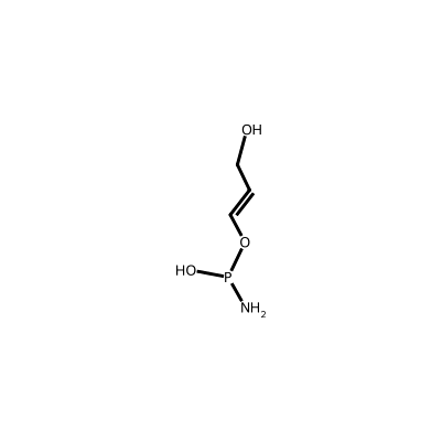 NP(O)O/C=C/CO